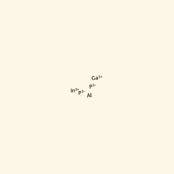 [Al].[Ga+3].[In+3].[P-3].[P-3]